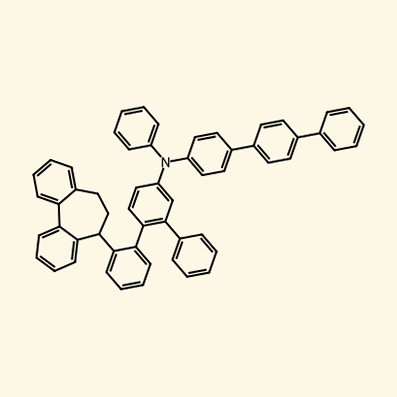 c1ccc(-c2ccc(-c3ccc(N(c4ccccc4)c4ccc(-c5ccccc5C5CCc6ccccc6-c6ccccc65)c(-c5ccccc5)c4)cc3)cc2)cc1